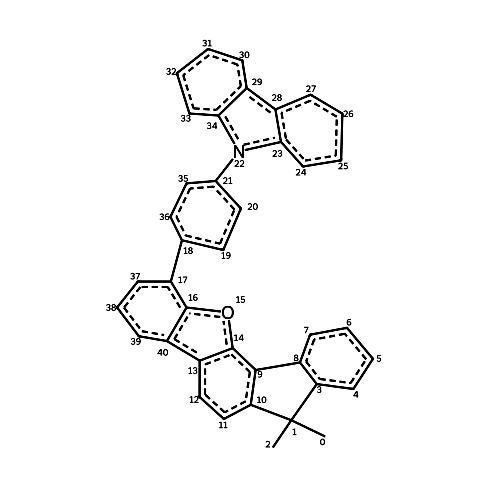 CC1(C)c2ccccc2-c2c1ccc1c2oc2c(-c3ccc(-n4c5ccccc5c5ccccc54)cc3)cccc21